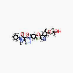 Cc1cc2c(Oc3ccc(NC(=O)c4c(C)n(C)n(-c5ccccc5)c4=O)cc3F)ccnc2cc1OCC(C)(C)O